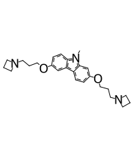 Cn1c2ccc(OCCCN3CCC3)cc2c2ccc(OCCCN3CCC3)cc21